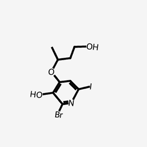 CC(CCO)Oc1cc(I)nc(Br)c1O